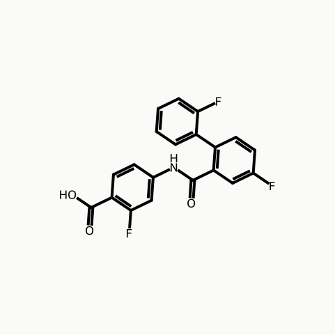 O=C(O)c1ccc(NC(=O)c2cc(F)ccc2-c2ccccc2F)cc1F